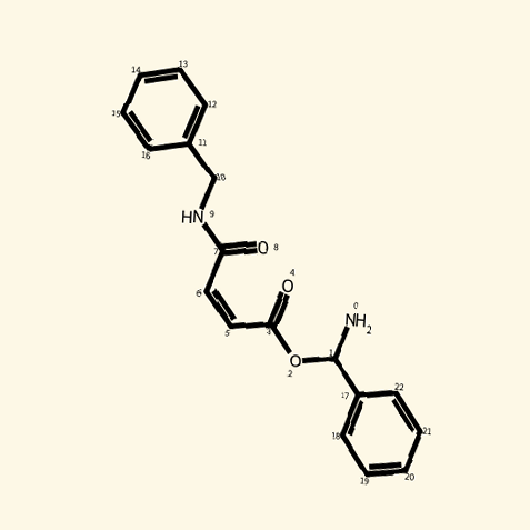 NC(OC(=O)/C=C\C(=O)NCc1ccccc1)c1ccccc1